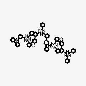 C1=CC(c2cccc(-c3nc(-c4ccccc4)nc(-c4cccc(-c5ccc6oc7cccc(-c8nc(-c9ccccc9)nc(-c9cccc(-n%10c%11ccccc%11c%11ccccc%11%10)c9)n8)c7c6c5)c4)n3)c2)Cc2c1c1ccccc1n2-c1nc(-c2ccccc2)nc(-c2cccc3oc4ccc(-c5cccc(-c6nc(-c7ccccc7)nc(-c7ccccc7)n6)c5)cc4c23)n1